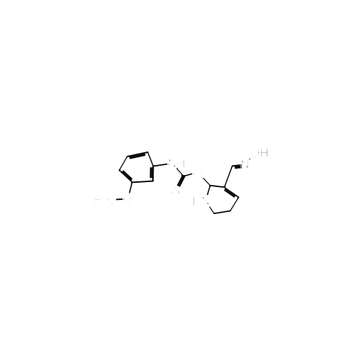 COc1cccc(NC(=O)OC2NCCC=C2C=NO)c1